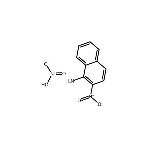 Nc1c([N+](=O)[O-])ccc2ccccc12.O=[N+]([O-])O